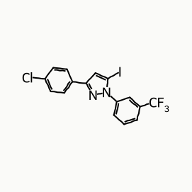 FC(F)(F)c1cccc(-n2nc(-c3ccc(Cl)cc3)cc2I)c1